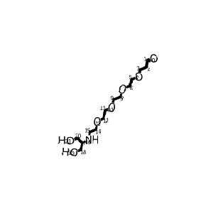 O=CCCOCCOCCOCCOCCNC(CO)CO